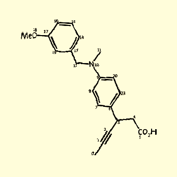 CC#CC(CC(=O)O)c1ccc(N(C)Cc2cccc(OC)c2)cc1